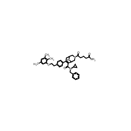 Cc1cc(C)c(C)c(OCCc2ccc(C3=C(C(=O)N(Cc4ccccc4)C4CC4)C4CN(C(=O)CCCC(N)=O)CC(C3)N4)cc2)c1